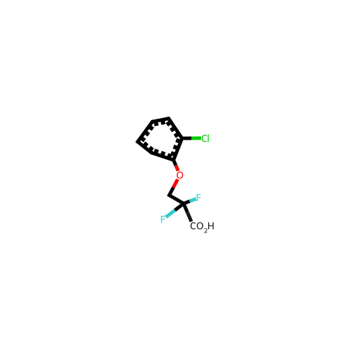 O=C(O)C(F)(F)COc1ccccc1Cl